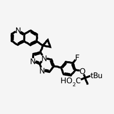 CC(C)(C)C(C)(Oc1ccc(-c2cnc3ncc(C4(c5ccc6ncccc6c5)CC4)n3c2)cc1F)C(=O)O